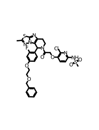 Cc1nn2c3c(nc2s1)CCN(C(=O)COc1ccc(NS(C)(=O)=O)nc1Cl)C3c1ccc(OCCOCc2ccccc2)cc1F